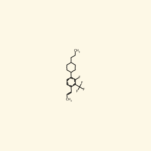 C/C=C/c1ccc(C2CCC(CCC)CC2)c(F)c1C(F)(F)F